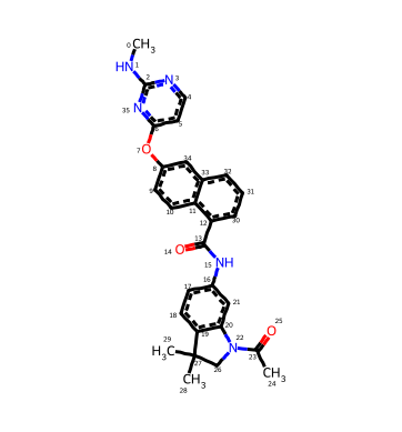 CNc1nccc(Oc2ccc3c(C(=O)Nc4ccc5c(c4)N(C(C)=O)CC5(C)C)cccc3c2)n1